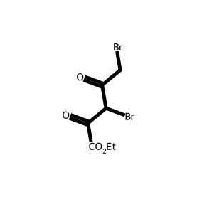 CCOC(=O)C(=O)C(Br)C(=O)CBr